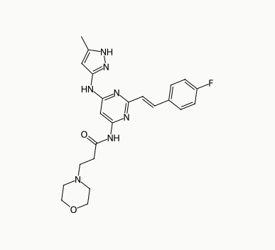 Cc1cc(Nc2cc(NC(=O)CCN3CCOCC3)nc(/C=C/c3ccc(F)cc3)n2)n[nH]1